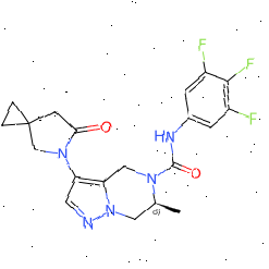 C[C@H]1Cn2ncc(N3CC4(CC4)CC3=O)c2CN1C(=O)Nc1cc(F)c(F)c(F)c1